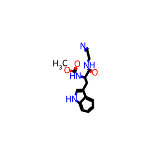 COC(=O)NC(Cc1c[nH]c2ccccc12)C(=O)NCC#N